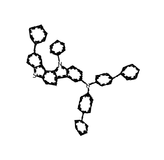 c1ccc(-c2ccc(N(c3ccc(-c4ccccc4)cc3)c3ccc4c(c3)c3ccc5sc6ccc(-c7ccccc7)cc6c5c3n4-c3ccccc3)cc2)cc1